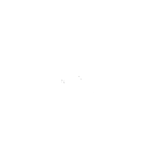 c1ccc(-c2ccc3c(c2)c(-c2cc(-c4ccccc4)c4ccc5c(-c6ccccc6)ccnc5c4n2)cc2ccccc23)cc1